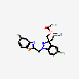 CC(C)(C)C(=O)OCC1(CC(=O)O)NN(Cc2nc3cc(C(F)(F)F)ccc3s2)c2ccc(Cl)cc21